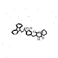 O=C1NC2(CCCCC2)C(=O)NC1Cc1ccc(N(CC2c3ccccc3-c3ccccc32)C(=O)O)cc1